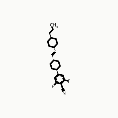 CCC[C@H]1CC[C@H](C=C[C@H]2CC[C@H](c3cc(F)c(C#N)c(F)c3)CC2)CC1